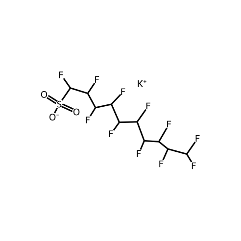 O=S(=O)([O-])C(F)C(F)C(F)C(F)C(F)C(F)C(F)C(F)C(F)C(F)F.[K+]